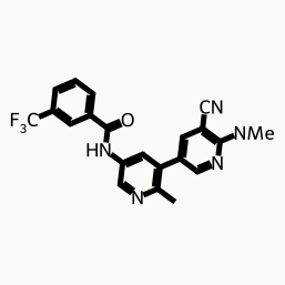 CNc1ncc(-c2cc(NC(=O)c3cccc(C(F)(F)F)c3)cnc2C)cc1C#N